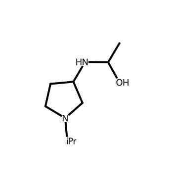 CC(O)NC1CCN(C(C)C)C1